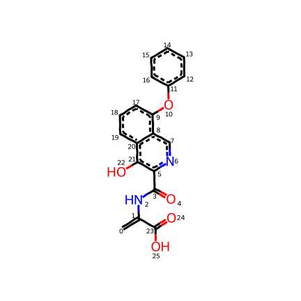 C=C(NC(=O)c1ncc2c(Oc3ccccc3)cccc2c1O)C(=O)O